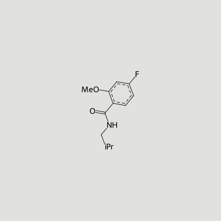 COc1cc(F)ccc1C(=O)NCC(C)C